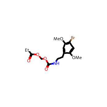 CCC(=O)OCOC(=O)NCCc1cc(OC)c(Br)cc1OC